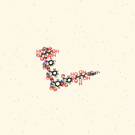 O=C([O-])[C@H](O)[C@@H](O)[C@H](O)[C@H](O)CO.O=C([O-])[C@H](O)[C@@H](O)[C@H](O)[C@H](O)CO.O=C1[N-]S(=O)(=O)c2ccccc21.O=C1[N-]S(=O)(=O)c2ccccc21.O=C1[N-]S(=O)(=O)c2ccccc21.O=C1[N-]S(=O)(=O)c2ccccc21.[Ca+2].[Ca+2].[Ca+2]